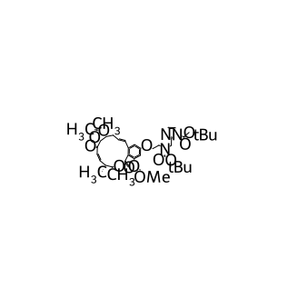 COCOc1cc(OCCN(Cc2nccn2C(=O)OC(C)(C)C)C(=O)OC(C)(C)C)cc2c1C(=O)O[C@@H](C)[C@H](C)/C=C\C(=O)C1OC(C)(C)OC1C/C=C/2